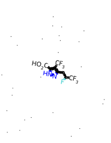 O=C(O)c1[nH]nc(CC(F)C(F)(F)F)c1C(F)(F)F